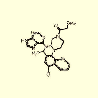 COCC(=O)N1CCN(c2c(C(C)Nc3ncnc4[nH]cnc34)cc(Cl)c3cccnc23)CC1